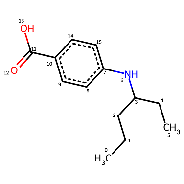 CCCC(CC)Nc1ccc(C(=O)O)cc1